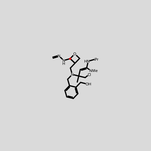 C=NNCC1(CN(Cc2ccccc2CO)C(C)(/C=C(\NC)NC(C)C)CCl)COC1